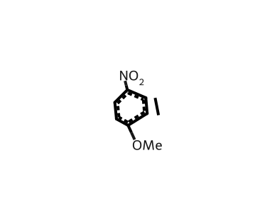 CC.COc1ccc([N+](=O)[O-])cc1